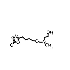 CN(CCO)CCCCCCc1noc(=O)o1